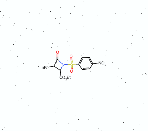 CCCC1C(=O)N(S(=O)(=O)c2ccc([N+](=O)[O-])cc2)C1C(=O)OCC